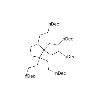 CCCCCCCCCCCCC1CCC(CCCCCCCCCCCC)(CCCCCCCCCCCC)C1(CCCCCCCCCCCC)CCCCCCCCCCCC